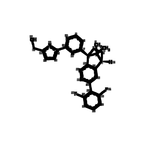 CC1(C)[C@H]2CC[C@@]1(c1ccnc(-n3ccc(CO)n3)n1)c1nnc(-c3c(F)cccc3F)cc12